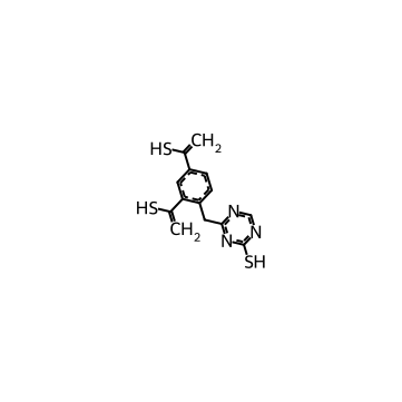 C=C(S)c1ccc(Cc2ncnc(S)n2)c(C(=C)S)c1